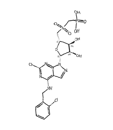 O=P(O)(O)CS(=O)(=O)C[C@H]1O[C@@H](n2ncc3c(NCc4ccccc4Cl)nc(Cl)nc32)[C@H](O)[C@@H]1O